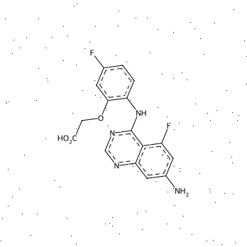 Nc1cc(F)c2c(Nc3ccc(F)cc3OCC(=O)O)ncnc2c1